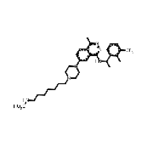 Cc1c(C(C)Nc2nnc(C)c3ccc(N4CCN(CCCCCCCNC(=O)O)CC4)cc23)cccc1C(F)(F)F